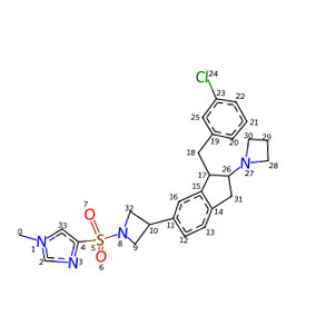 Cn1cnc(S(=O)(=O)N2CC(c3ccc4c(c3)C(Cc3cccc(Cl)c3)C(N3CCC3)C4)C2)c1